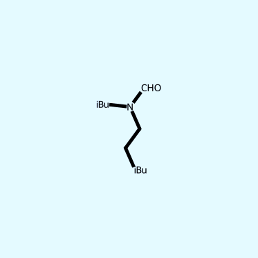 CCC(C)CCN(C=O)C(C)CC